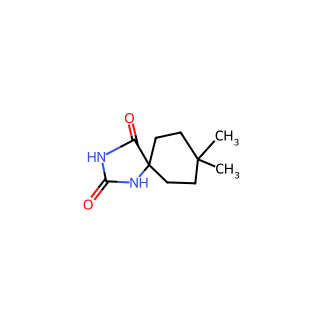 CC1(C)CCC2(CC1)NC(=O)NC2=O